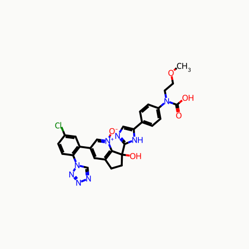 COCCN(C(=O)O)c1ccc(-c2cnc(C3(O)CCc4cc(-c5cc(Cl)ccc5-n5cnnn5)c[n+]([O-])c43)[nH]2)cc1